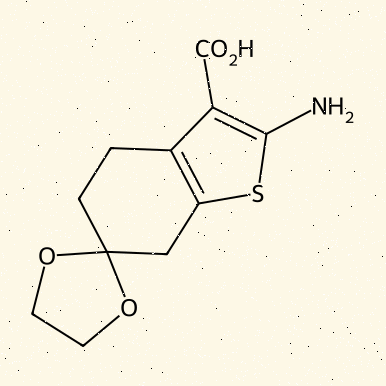 Nc1sc2c(c1C(=O)O)CCC1(C2)OCCO1